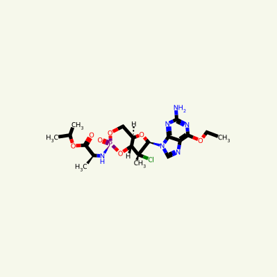 CCOc1nc(N)nc2c1ncn2[C@@H]1O[C@@H]2CO[P@](=O)(N[C@@H](C)C(=O)OC(C)C)O[C@H]2[C@@]1(C)Cl